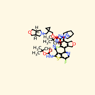 CC(C)(C)OC(=O)Nc1sc2c(F)cnc(-c3c4c(c5c(N6C7CCC6CN(C(=O)OC(C)(C)C)C7)nc(OCC6(CN7C[C@H]8COC[C@H]8C7)CC6)nc5c3F)COC4)c2c1C#N